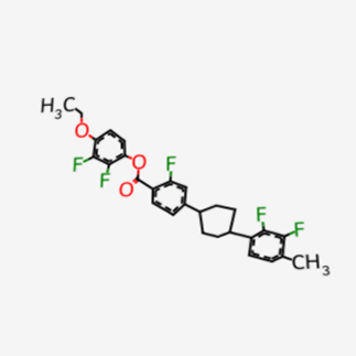 CCOc1ccc(OC(=O)c2ccc(C3CCC(c4ccc(C)c(F)c4F)CC3)cc2F)c(F)c1F